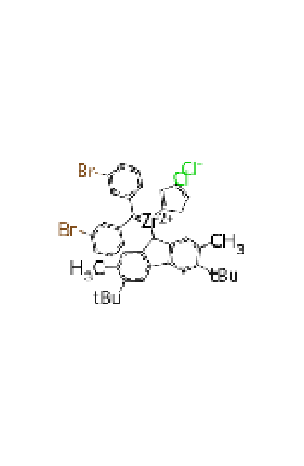 Cc1cc2c(cc1C(C)(C)C)-c1cc(C(C)(C)C)c(C)cc1[CH]2[Zr+2]([C]1=CC=CC1)=[C](c1cccc(Br)c1)c1cccc(Br)c1.[Cl-].[Cl-]